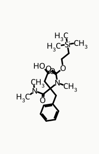 CN(C)C(=O)C(CC(=O)O)(Cc1ccccc1)N(C)C(=O)OCC[Si](C)(C)C